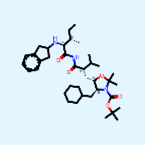 CC[C@H](C)[C@H](NC1Cc2ccccc2C1)C(=O)NC(=O)[C@@H](C[C@@H]1OC(C)(C)N(C(=O)OC(C)(C)C)[C@H]1CC1CCCCC1)C(C)C